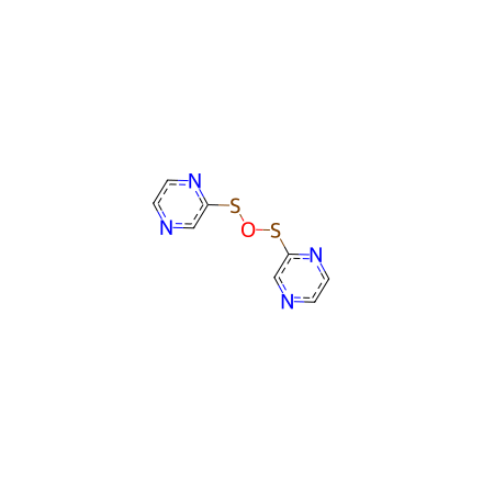 c1cnc(SOSc2cnccn2)cn1